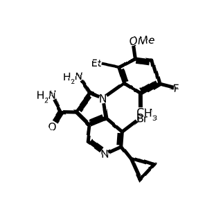 CCc1c(OC)cc(F)c(C)c1-n1c(N)c(C(N)=O)c2cnc(C3CC3)c(Br)c21